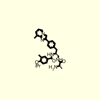 Cc1cc(C(=O)N[C@H](CNC(=O)[C@@H](C)N)Cc2ccc(-c3cn4cccc(C)c4n3)cc2)ccc1OC(C)C